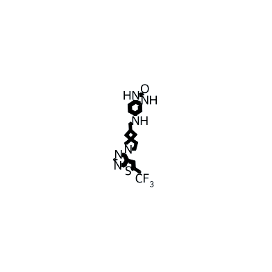 O=c1[nH]c2ccc(NCC3CC4(CCN(c5ncnc6sc(CC(F)(F)F)cc56)C4)C3)cc2[nH]1